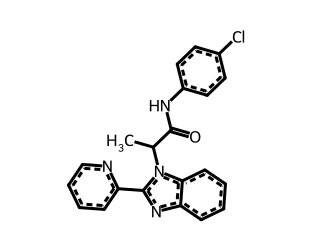 CC(C(=O)Nc1ccc(Cl)cc1)n1c(-c2ccccn2)nc2ccccc21